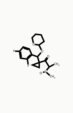 CC(C(=O)C1(C(OC2CCCCO2)c2ccc(F)cc2F)CC1)[S+](C)[O-]